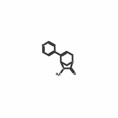 CN1C(=O)N2CC=C(c3ccncc3)C1C2